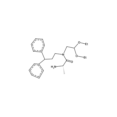 CCOC(CN(CCC(c1ccccc1)c1ccccc1)C(=O)[C@H](C)N)OCC